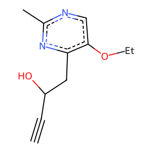 C#CC(O)Cc1nc(C)ncc1OCC